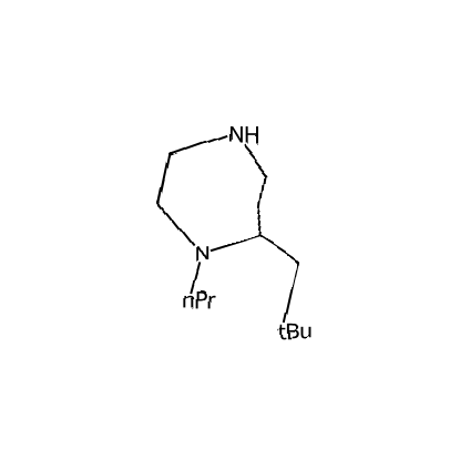 CCCN1CCNCC1CC(C)(C)C